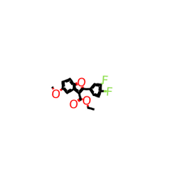 CCOC(=O)c1c(-c2ccc(F)c(F)c2)oc2ccc(OC)cc12